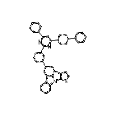 c1ccc(-c2ccc(-c3cc(-c4ccccc4)nc(-c4cccc(-c5cc6c7ccccc7n7c8sccc8c(c5)c67)c4)n3)cc2)cc1